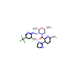 Cc1ccc(-c2ncccn2)c(C(=O)N2C[C@@H](C)O[C@@H](C)[C@H]2CNc2ncc(C(F)(F)F)cc2C)n1